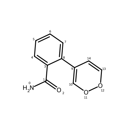 NC(=O)c1ccccc1C1=COOC=C1